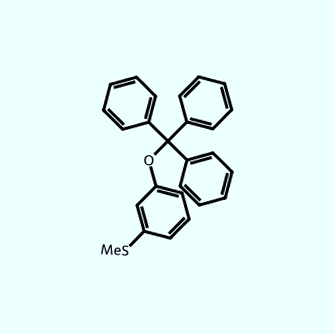 CSc1cccc(OC(c2ccccc2)(c2ccccc2)c2ccccc2)c1